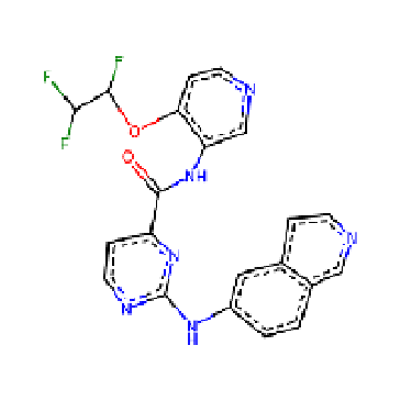 O=C(Nc1cnccc1OC(F)C(F)F)c1ccnc(Nc2ccc3cnccc3c2)n1